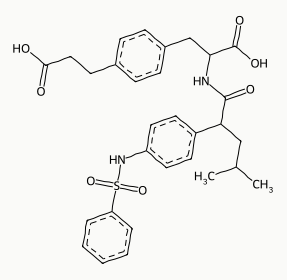 CC(C)CC(C(=O)NC(Cc1ccc(CCC(=O)O)cc1)C(=O)O)c1ccc(NS(=O)(=O)c2ccccc2)cc1